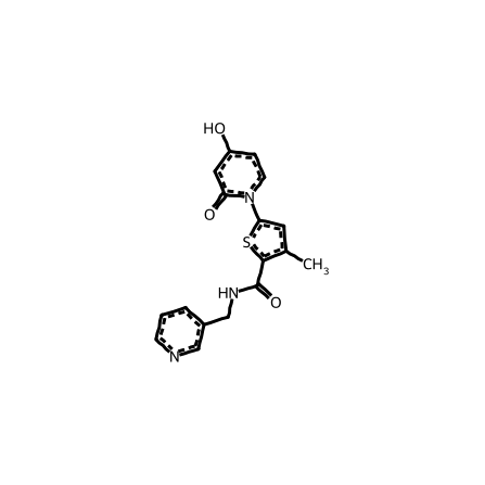 Cc1cc(-n2ccc(O)cc2=O)sc1C(=O)NCc1cccnc1